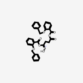 O=C(CC/C(=N/O)OC(=O)c1ccccc1OCc1ccccc1)OC(=O)c1ccccc1OCc1ccccc1